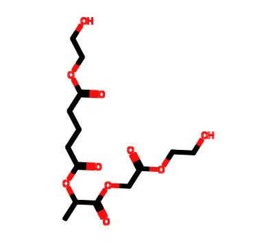 CC(OC(=O)CCCC(=O)OCCO)C(=O)OCC(=O)OCCO